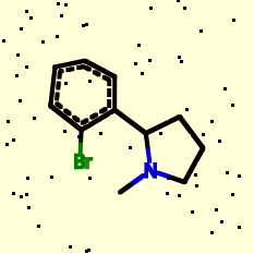 CN1CCCC1c1ccccc1Br